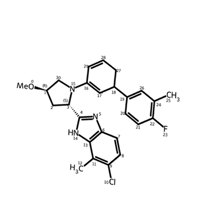 CO[C@@H]1C[C@@H](c2nc3ccc(Cl)c(C)c3[nH]2)N(C2=[C]C(c3ccc(F)c(C)c3)CC=C2)C1